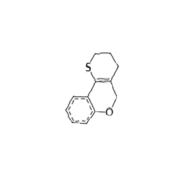 c1ccc2c(c1)OCC1=C2SCCC1